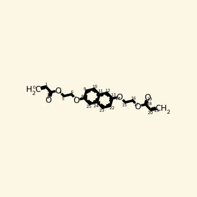 C=CC(=O)OCCOc1ccc2cc(OCCOC(=O)C=C)ccc2c1